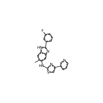 Cc1cc2[nH]c(-c3cccc(F)c3)nc2cc1Nc1nc(-c2cccnc2)cs1